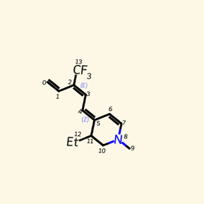 C=C/C(=C\C=C1/C=CN(C)CC1CC)C(F)(F)F